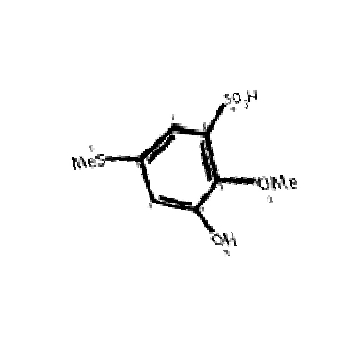 COc1c(O)cc(SC)cc1S(=O)(=O)O